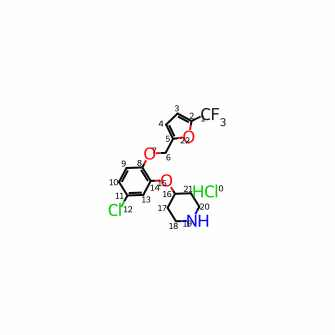 Cl.FC(F)(F)c1ccc(COc2ccc(Cl)cc2OC2CCNCC2)o1